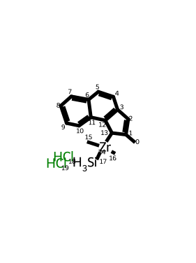 CC1=Cc2ccc3ccccc3c2[CH]1[Zr]([CH3])([CH3])[SiH3].Cl.Cl